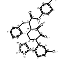 O=C(O)c1ccc(NC(=O)[C@H](Cc2ccccc2)N2CCN(c3cc(Cl)ccc3-n3cnnn3)C(=O)C2=O)cc1